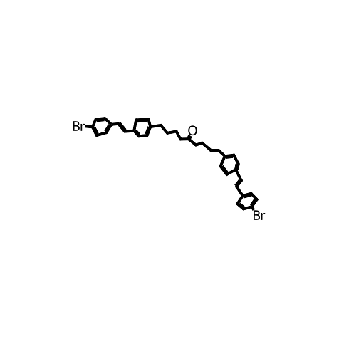 O=C(CCCCc1ccc(C=Cc2ccc(Br)cc2)cc1)CCCCc1ccc(C=Cc2ccc(Br)cc2)cc1